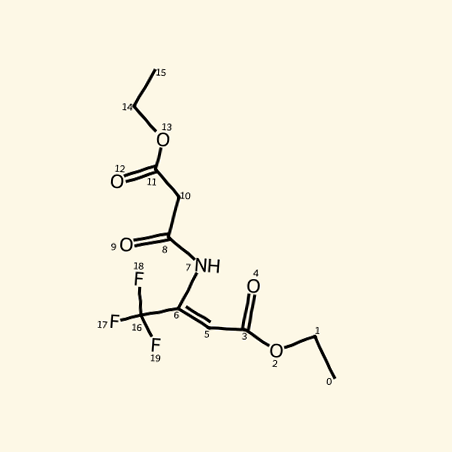 CCOC(=O)/C=C(\NC(=O)CC(=O)OCC)C(F)(F)F